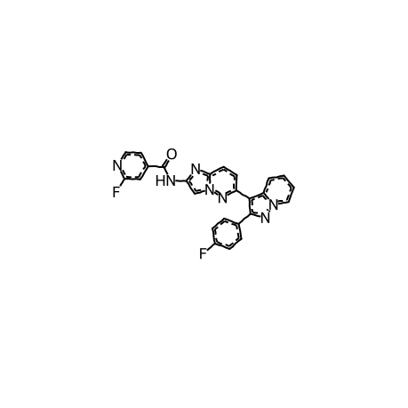 O=C(Nc1cn2nc(-c3c(-c4ccc(F)cc4)nn4ccccc34)ccc2n1)c1ccnc(F)c1